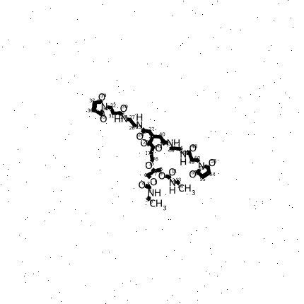 CCNC(=O)OCC(COC(=O)NCC)OCCCC(=O)C(CC(=O)NCCNC(=O)CCN1C(=O)C=CC1=O)CC(=O)NCCNC(=O)CCN1C(=O)C=CC1=O